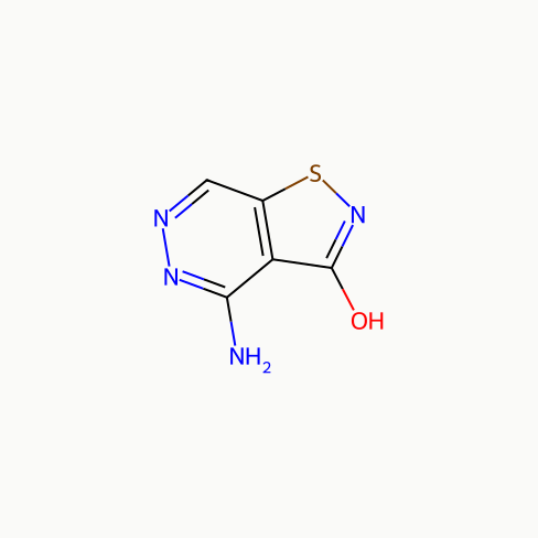 Nc1nncc2snc(O)c12